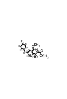 COC(=O)c1nc(OC)c2cc(Cc3ccc(F)cc3)cnc2c1O